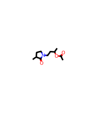 CC(=O)OC(C)CCN1CCC(C)C1=O